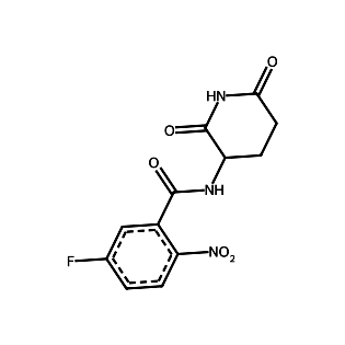 O=C1CCC(NC(=O)c2cc(F)ccc2[N+](=O)[O-])C(=O)N1